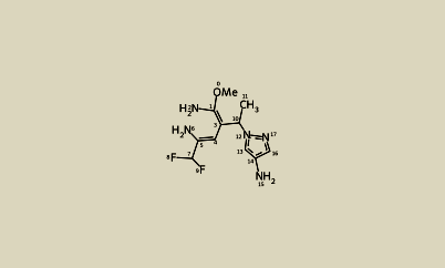 CO/C(N)=C(/C=C(\N)C(F)F)C(C)n1cc(N)cn1